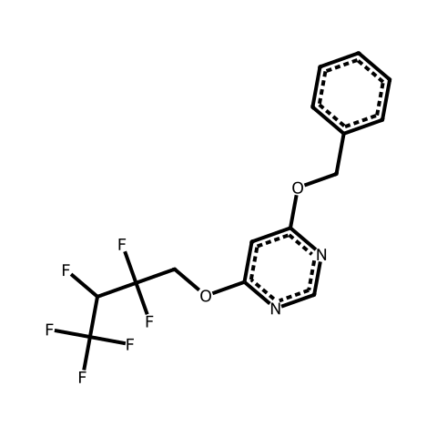 FC(C(F)(F)F)C(F)(F)COc1cc(OCc2ccccc2)ncn1